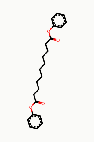 O=C(CCCCCCCCCC(=O)Oc1ccccc1)Oc1ccccc1